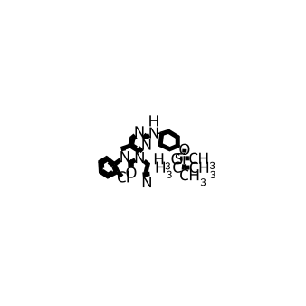 CC(C)(C)[Si](C)(C)O[C@H]1CC[C@H](Nc2ncc3c(n2)N(CC#N)C(=O)N(c2ccccc2Cl)C3)CC1